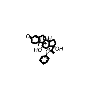 C=C(Oc1ccccc1)[C@@]1(O)CC[C@H]2[C@@H]3CCC4=CC(=O)CC[C@]4(C)[C@@]3(F)[C@H](O)C[C@@]21C